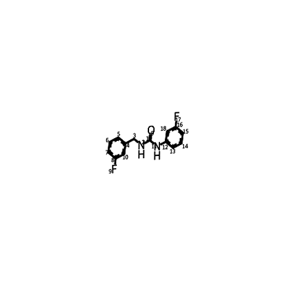 O=C(NCc1cccc(F)c1)Nc1cccc(F)c1